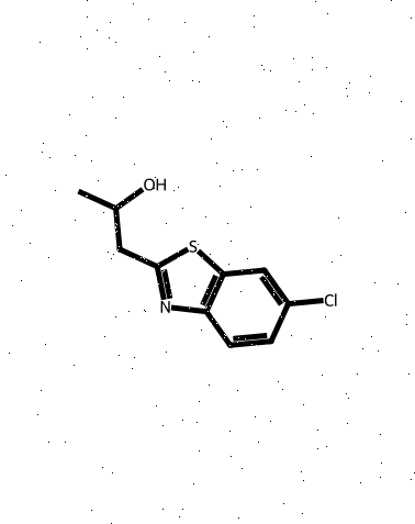 CC(O)Cc1nc2ccc(Cl)cc2s1